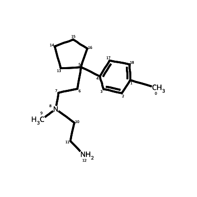 Cc1ccc(C2(CCN(C)CCN)CCCC2)cc1